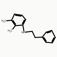 Cc1cccc(PCCc2ccccc2)c1C